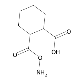 NOC(=O)C1CCCCC1C(=O)O